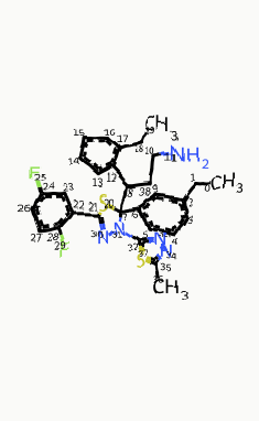 CCc1cccc(C2(C(CCN)c3ccccc3CC)SC(c3cc(F)ccc3F)=NN2c2nnc(C)s2)c1